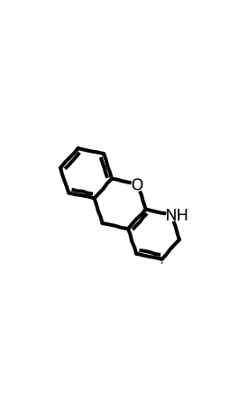 [C]1=CC2=C(NC1)Oc1ccccc1C2